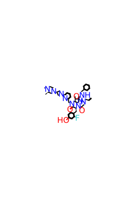 C=CCN1CC(=O)N2[C@@H](Cc3ccc(O)cc3F)C(=O)N(Cc3cccc(N4CC(N5CCN(C)[C@H](C)C5)C4)n3)C[C@@H]2N1C(=O)NCc1ccccc1